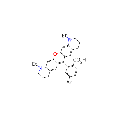 CCN1CCCc2cc3c(cc21)Oc1cc2c(cc1=C3c1cc(C(C)=O)ccc1C(=O)O)CCC[N+]=2CC